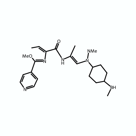 CBC1CCC(N(/C=C(\C)NC(=O)C(=C/C)/N=C(\OC)c2ccncc2)NC)CC1